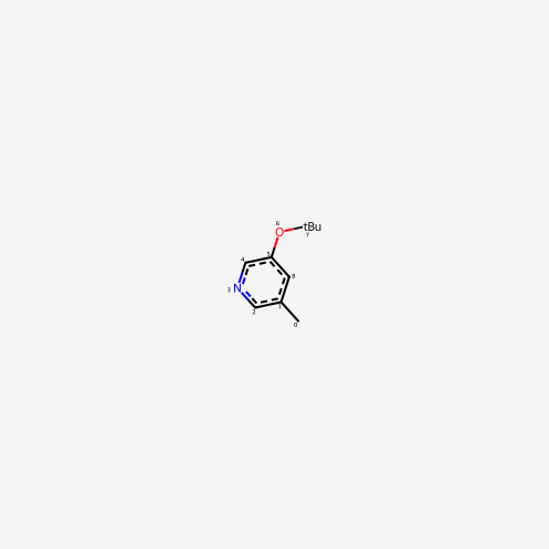 Cc1cncc(OC(C)(C)C)c1